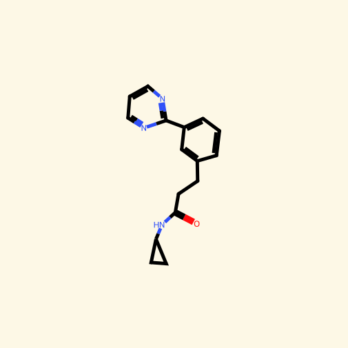 O=C(CCc1cccc(-c2n[c]ccn2)c1)NC1CC1